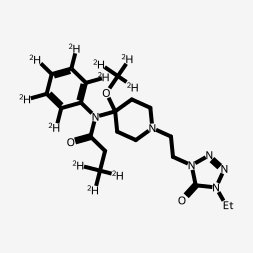 [2H]c1c([2H])c([2H])c(N(C(=O)CC([2H])([2H])[2H])C2(OC([2H])([2H])[2H])CCN(CCn3nnn(CC)c3=O)CC2)c([2H])c1[2H]